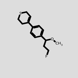 COC(CCF)c1ccc(C2=CCSCC2)cc1